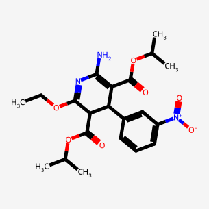 CCOC1=NC(N)=C(C(=O)OC(C)C)C(c2cccc([N+](=O)[O-])c2)C1C(=O)OC(C)C